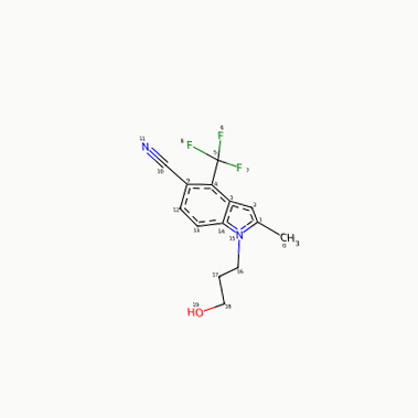 Cc1cc2c(C(F)(F)F)c(C#N)ccc2n1CCCO